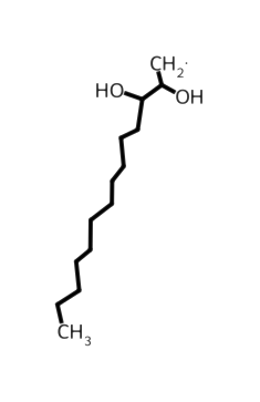 [CH2]C(O)C(O)CCCCCCCCCCC